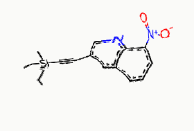 C[Si](C)(C)C#Cc1cnc2c([N+](=O)[O-])cccc2c1